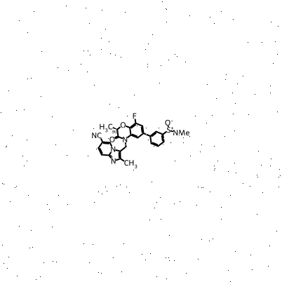 CN[S+]([O-])c1cccc(-c2cc(F)c3c(c2)N(Cc2c(C)nc4ccc(C#N)cn24)C(=O)[C@@H](C)O3)c1